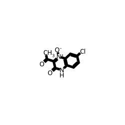 CC(=O)c1c(=O)[nH]c2ccc(Cl)cc2[n+]1[O-]